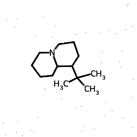 CC(C)(C)C1CCCN2CCCCC12